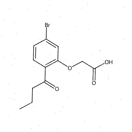 CCCC(=O)c1ccc(Br)cc1OCC(=O)O